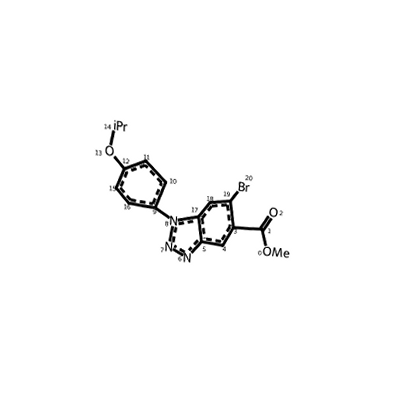 COC(=O)c1cc2nnn(-c3ccc(OC(C)C)cc3)c2cc1Br